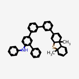 CC12C=CC=CC1C1(C)C=CC(c3cccc(-c4cccc(-c5ccc(Nc6ccccc6)c(-c6ccccc6)c5)c4)c3)=CC1S2